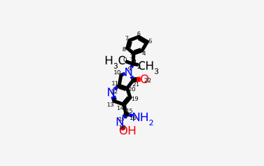 CC(C)(c1ccccc1)N1Cc2ncc(/C(N)=N/O)cc2C1=O